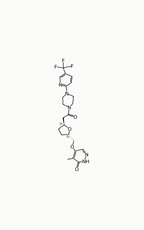 Cc1c(OC[C@@H]2CC[C@@H](CC(=O)N3CCN(c4ccc(C(F)(F)F)cn4)CC3)O2)cn[nH]c1=O